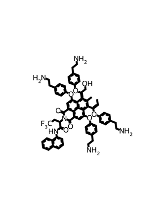 C/C=C(/Oc1ccc(CCN)cc1)c1c(C)/c(=C(\CO)Oc2ccc(CCN)cc2)c2c(Oc3ccc(CCN)cc3)cc3c4c(cc(Oc5ccc(CCN)cc5)c1c42)C(=O)N(C(CC(F)(F)F)C(=O)Nc1cccc2ccccc12)C3=O